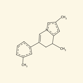 Cc1cccc(C2=Cn3cc(C)cc3C(C)C2)c1